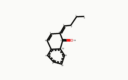 CCCC=C1C=Cc2ccccc2C1=O